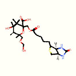 C[C@@H]1C(C)(COCO)OC(COC(=O)CCCCC2SC[C@@H]3NC(=O)N[C@H]23)(C(=O)O)C(C)(C)C1(C)O